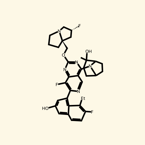 CCc1c(F)ccc2cc(O)cc(-c3ncc4c(N5C6CCC5C(C)(O)CC6)nc(OC[C@@]56CCCN5C[C@H](F)C6)nc4c3F)c12